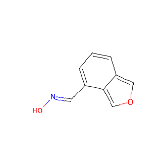 ON=Cc1cccc2cocc12